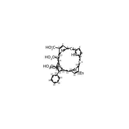 O=C(O)C1=Cc2cc3ccc(cc4nc(cc5c(-c6ccccc6)c(C(=O)O)c(c(C(=O)O)c1n2)n5C(=O)O)C=C4)[nH]3.[Zn]